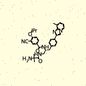 Cc1cccn2cc(-c3ccc(C[C@@H](CNC(=O)C(C)(C)N)NC(=O)c4ccc(OC(C)C)c(C#N)c4)cc3)nc12